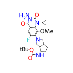 COc1c(N2CC3CCC(NC(=O)OC(C)(C)C)C3C2)c(F)cc2c(=O)n(N)c(=O)n(C3CC3)c12